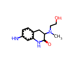 CN(CCO)C1Cc2ccc([NH])cc2NC1=O